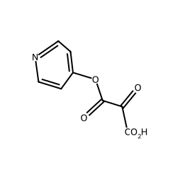 O=C(O)C(=O)C(=O)Oc1ccncc1